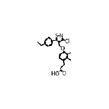 CCc1ccc(-c2snc(Cl)c2COc2ccc(CCC(=O)O)c(C)c2C)cc1